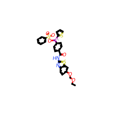 CCOCOc1ccc2nc(NC(=O)c3ccc([I+](OS(=O)(=O)c4ccccc4)c4cccs4)cc3)sc2c1